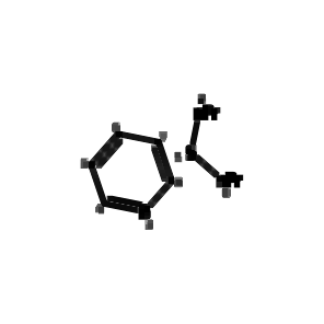 CCCSCCC.b1ccccc1